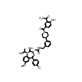 COc1ccc2c(c1)C(c1ccc(Cl)cc1)=N[C@@H](CC(=O)NCc1cccc(C3CCN(C(=O)c4ccc(O)c(C(N)=O)c4)CC3)c1)C(=N)N2C(C)=N